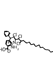 CCCCCCCCCCCCCC(Cl)C(Cl)C(N)C(Cl)C(c1ccccc1)c1ccc(C(=O)O)c(N)c1